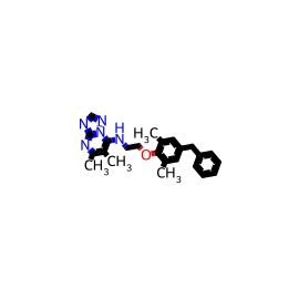 Cc1cc(Cc2ccccc2)cc(C)c1OCCNc1c(C)c(C)nc2ncnn12